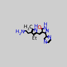 CCc1c(C=C2C(=O)NN=C2c2cnccn2)[nH]c(C)c1CCN